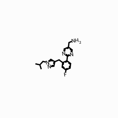 CC(C)Cn1cc(Cc2cc(F)ccc2-c2ncc(CN)cn2)cn1